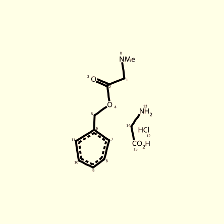 CNCC(=O)OCc1ccccc1.Cl.NCC(=O)O